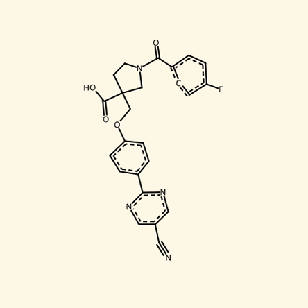 N#Cc1cnc(-c2ccc(OCC3(C(=O)O)CCN(C(=O)c4ccc(F)cc4)C3)cc2)nc1